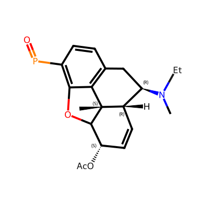 CCN(C)[C@@H]1Cc2ccc(P=O)c3c2[C@@]2(C)C(O3)[C@@H](OC(C)=O)C=C[C@@H]12